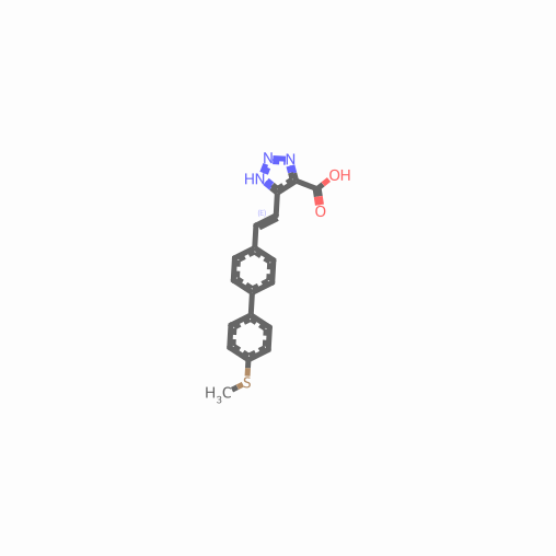 CSc1ccc(-c2ccc(/C=C/c3[nH]nnc3C(=O)O)cc2)cc1